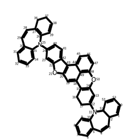 C1=CC2C=Cc3ccccc3N(C3=CC4=C(CC3)c3cc5oc6cc(N7C8=C(C=Cc9ccccc97)CCC=C8)ccc6c5c5cccc(c35)O4)C2C=C1